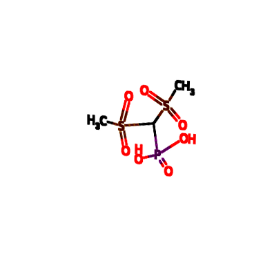 CS(=O)(=O)C(P(=O)(O)O)S(C)(=O)=O